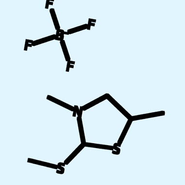 CSC1SC(C)CN1C.F[B-](F)(F)F